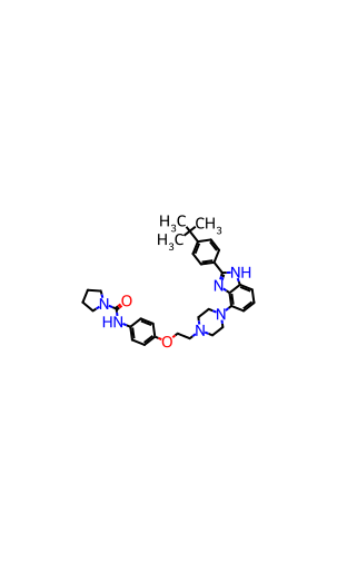 CC(C)(C)c1ccc(-c2nc3c(N4CCN(CCOc5ccc(NC(=O)N6CCCC6)cc5)CC4)cccc3[nH]2)cc1